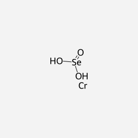 O=[Se](O)O.[Cr]